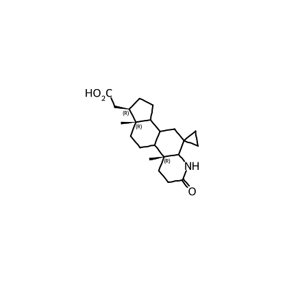 C[C@]12CCC(=O)NC1C1(CC1)CC1C2CC[C@@]2(C)C1CC[C@@H]2CC(=O)O